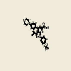 CC(C)c1nn(-c2ccc(OC(F)(F)F)cc2)c2nc(C(=O)O)cc(-c3ccc(N4CCOCC4)cc3)c12